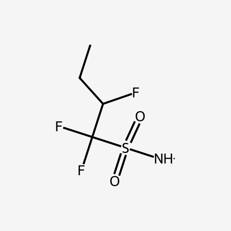 CCC(F)C(F)(F)S([NH])(=O)=O